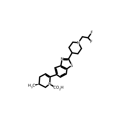 C[C@H]1CC=C(c2ccc3sc(C4CCN(CC(F)F)CC4)nc3c2)N(C(=O)O)C1